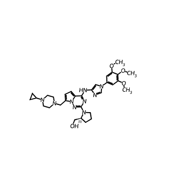 COc1cc(-n2cnc(Nc3nc(N4CCC[C@H]4CO)nn4c(CN5CCN(C6CC6)CC5)ccc34)c2)cc(OC)c1OC